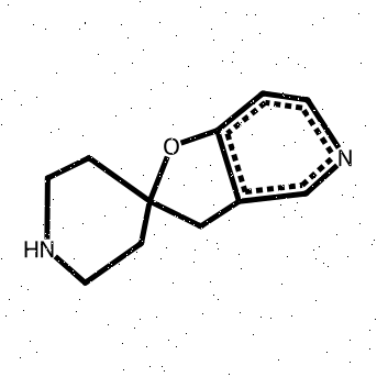 c1cc2c(cn1)CC1(CCNCC1)O2